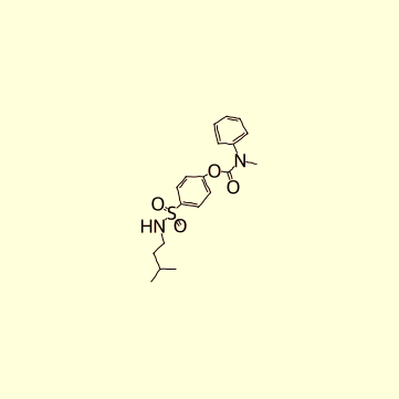 CC(C)CCNS(=O)(=O)c1ccc(OC(=O)N(C)c2ccccc2)cc1